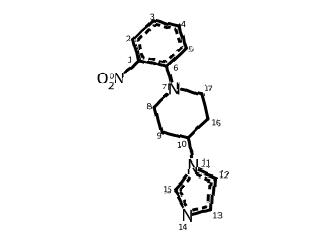 O=[N+]([O-])c1ccccc1N1CCC(n2ccnc2)CC1